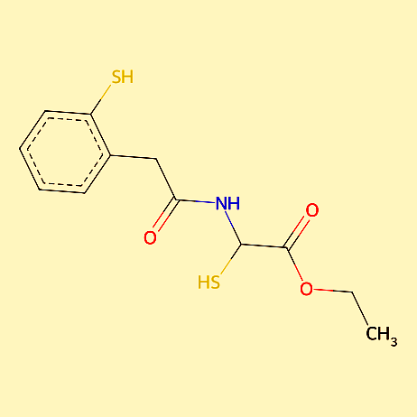 CCOC(=O)C(S)NC(=O)Cc1ccccc1S